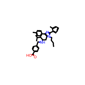 CCCCn1c(-c2ccccc2C)nc(-c2ccc(C)cc2)c1CC(CC(C)C)NCc1ccc(C(=O)O)cc1